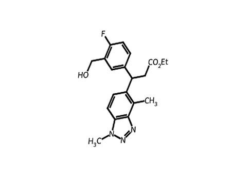 CCOC(=O)CC(c1ccc(F)c(CO)c1)c1ccc2c(nnn2C)c1C